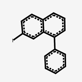 Ic1ccc2cccc(-c3ccccc3)c2c1